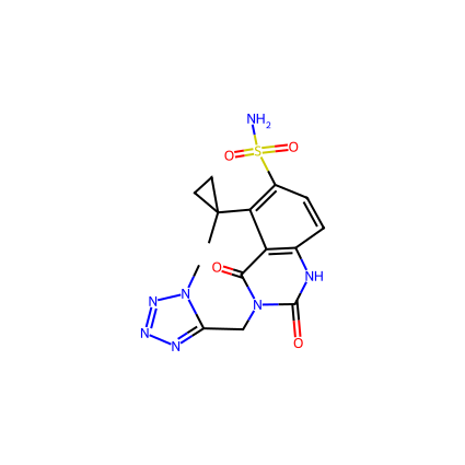 Cn1nnnc1Cn1c(=O)[nH]c2ccc(S(N)(=O)=O)c(C3(C)CC3)c2c1=O